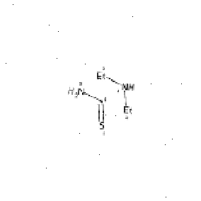 CCNCC.NC=S